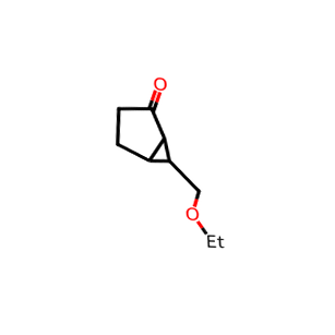 CCOCC1C2CCC(=O)C21